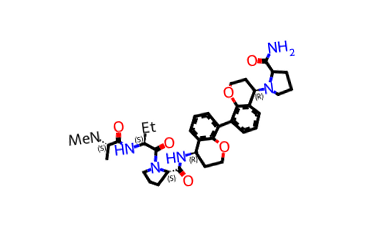 CC[C@H](NC(=O)[C@H](C)NC)C(=O)N1CCC[C@H]1C(=O)N[C@@H]1CCOc2c(-c3cccc4c3OCC[C@H]4N3CCCC3C(N)=O)cccc21